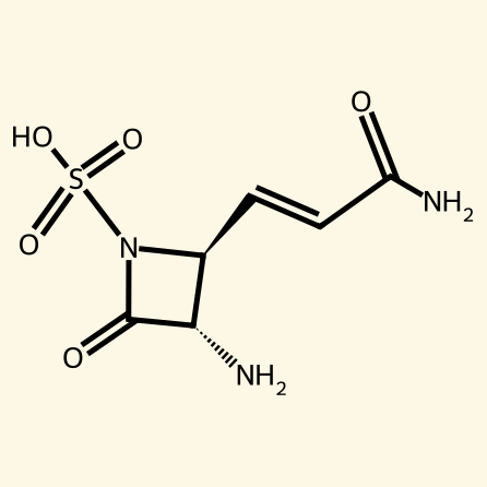 NC(=O)C=C[C@H]1[C@H](N)C(=O)N1S(=O)(=O)O